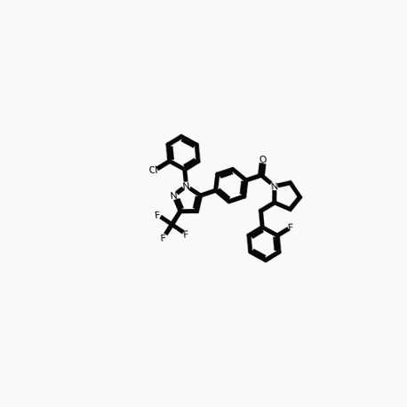 O=C(c1ccc(-c2cc(C(F)(F)F)nn2-c2ccccc2Cl)cc1)N1CCCC1Cc1ccccc1F